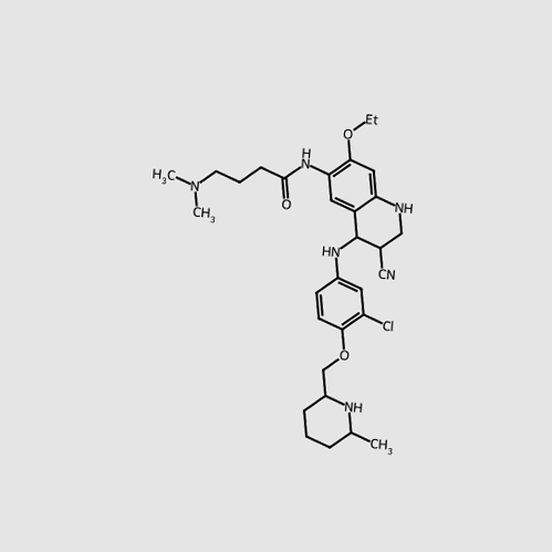 CCOc1cc2c(cc1NC(=O)CCCN(C)C)C(Nc1ccc(OCC3CCCC(C)N3)c(Cl)c1)C(C#N)CN2